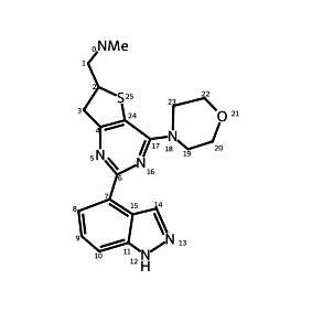 CNCC1Cc2nc(-c3cccc4[nH]ncc34)nc(N3CCOCC3)c2S1